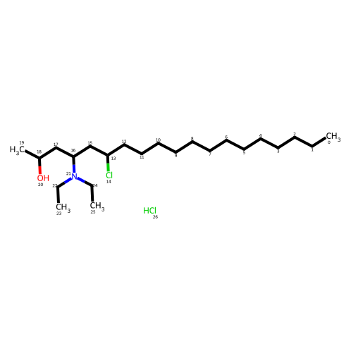 CCCCCCCCCCCCCC(Cl)CC(CC(C)O)N(CC)CC.Cl